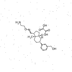 C[C@]12CC[C@H](c3cccc(CO)c3)C[C@@]1(O)CC[C@@H]2C=NOCCN.O=C(O)C(=O)O